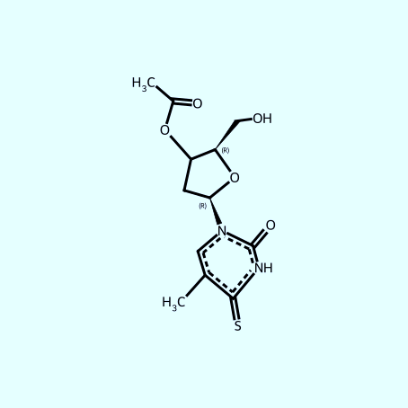 CC(=O)OC1C[C@H](n2cc(C)c(=S)[nH]c2=O)O[C@@H]1CO